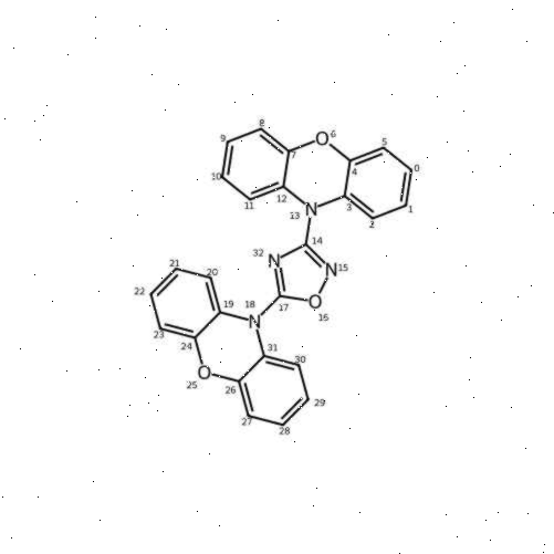 c1ccc2c(c1)Oc1ccccc1N2c1noc(N2c3ccccc3Oc3ccccc32)n1